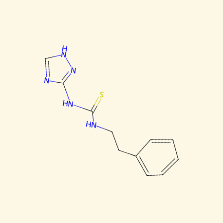 S=C(NCCc1ccccc1)Nc1nc[nH]n1